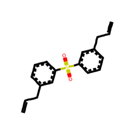 C=CCc1cccc(S(=O)(=O)c2cccc(CC=C)c2)c1